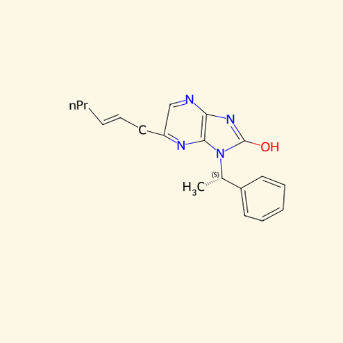 CCCC=CCc1cnc2nc(O)n([C@@H](C)c3ccccc3)c2n1